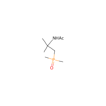 CC(=O)NC(C)(C)CP(C)(C)=O